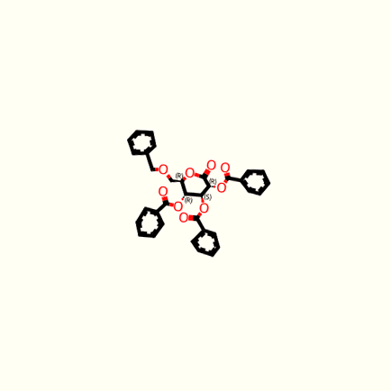 O=C(O[C@H]1[C@H](OC(=O)c2ccccc2)[C@@H](OC(=O)c2ccccc2)C(=O)O[C@@H]1COCc1ccccc1)c1ccccc1